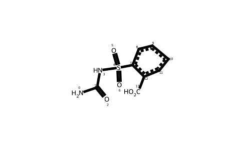 NC(=O)NS(=O)(=O)c1ccccc1C(=O)O